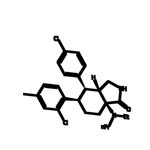 CCCN(CC)[C@@]12CC[C@@H](c3ccc(C)cc3Cl)[C@H](c3ccc(Cl)cc3)[C@@H]1CNC2=O